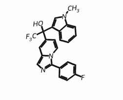 Cn1cc(C(O)(c2ccn3c(-c4ccc(F)cc4)ncc3c2)C(F)(F)F)c2ccccc21